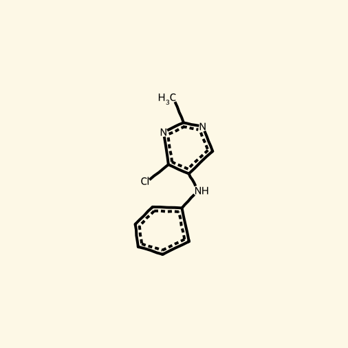 Cc1ncc(Nc2ccccc2)c(Cl)n1